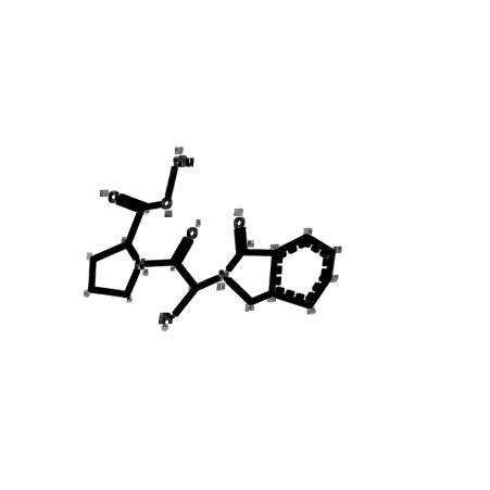 CC(C)C(C(=O)N1CCCC1C(=O)OC(C)(C)C)N1Cc2ccccc2C1=O